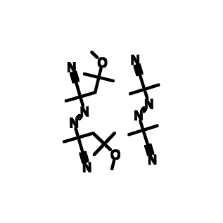 CC(C)(C#N)N=NC(C)(C)C#N.COC(C)(C)CC(C)(C#N)N=NC(C)(C#N)CC(C)(C)OC